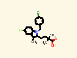 Cc1c(CCC(C)(C)C(=O)O)n(Cc2ccc(Cl)cc2)c2ccc(F)cc12